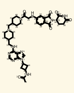 CC(=O)NC1CC(n2cnc3c(NCC4CCN(CC5CCN(C(=O)CNc6ccc7c(c6)C(=O)N([C@H]6CCC(=O)NC6=O)C7=O)CC5)CC4)ncnc32)C1